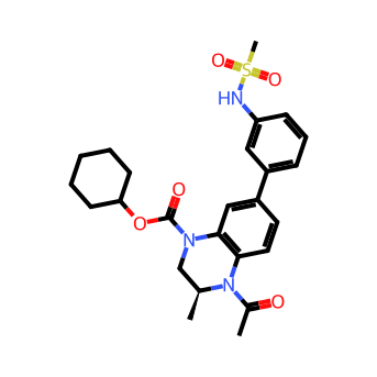 CC(=O)N1c2ccc(-c3cccc(NS(C)(=O)=O)c3)cc2N(C(=O)OC2CCCCC2)C[C@@H]1C